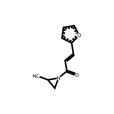 N#CC1CN1C(=O)C=Cc1ccco1